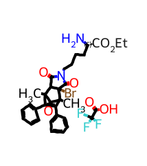 CCOC(=O)[C@@H](N)CCCCN1C(=O)C2C3(C)C(=O)C(C)(C(c4ccccc4)=C3c3ccccc3)C2(Br)C1=O.O=C(O)C(F)(F)F